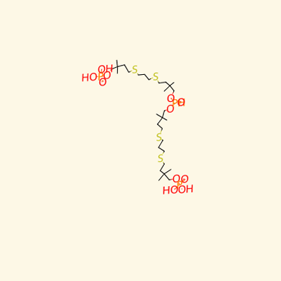 CC(C)(CCSCCCSCCC(C)(C)COP(=O)(O)O)CO[PH](=O)OCC(C)(C)CCSCCCSCCC(C)(C)COP(=O)(O)O